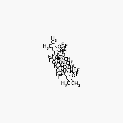 CCCCCC(NC(=O)C(F)(F)F)N(C(=O)OC(C)N(c1ccnnn1)C(C)OC(=O)N(C(CCCCC)NC(=O)C(F)(F)F)C(CCCCC)NC(=O)C(F)(F)F)C(CCCCC)NC(=O)C(F)(F)F